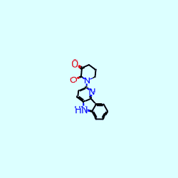 O=C1CCCN(c2ccc3[nH]c4ccccc4c3n2)C1=O